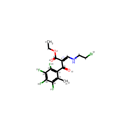 CCOC(=O)/C(=C/NCCBr)C(=O)c1c(C)c(F)c(F)c(F)c1F